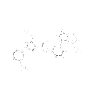 COc1nn(-c2cccc(C)n2)cc1C(=O)Nc1cccc(-c2nnc3n2[C@@H](C)CC3)n1